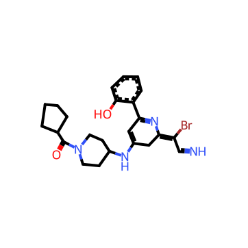 N=C/C(Br)=C1\CC(NC2CCN(C(=O)C3CCCC3)CC2)=CC(c2ccccc2O)=N1